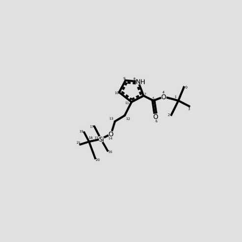 CC(C)(C)OC(=O)c1[nH]ccc1CCO[Si](C)(C)C(C)(C)C